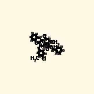 Cc1cc(CN2C[C@H]3N(C(=O)CN(C)N3C(=O)NCc3ccccc3)[C@@H](Cc3ccccc3)C2=O)ccc1Cl